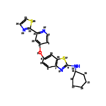 c1cc(Oc2ccc3nc(NC4CCCCC4)sc3c2)cc(-c2nccs2)n1